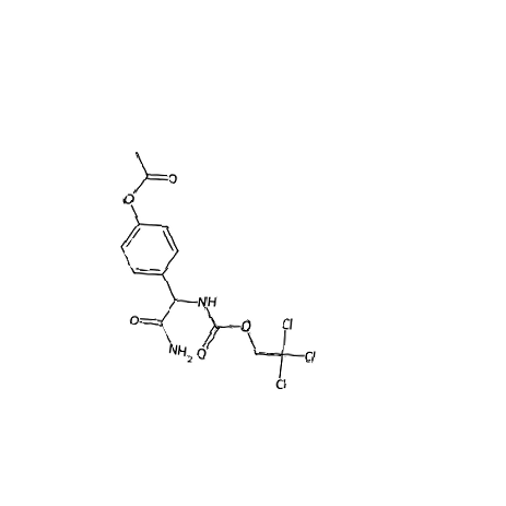 CC(=O)Oc1ccc(C(NC(=O)OCC(Cl)(Cl)Cl)C(N)=O)cc1